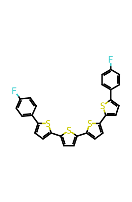 Fc1ccc(-c2ccc(-c3ccc(-c4ccc(-c5ccc(-c6ccc(F)cc6)s5)s4)s3)s2)cc1